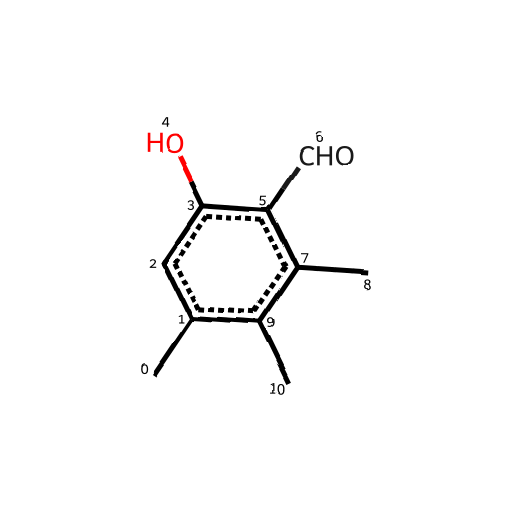 Cc1cc(O)c(C=O)c(C)c1C